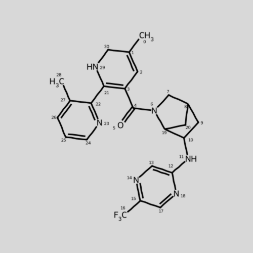 CC1=CC(C(=O)N2CC3CC(Nc4cnc(C(F)(F)F)cn4)C2C3)=C(c2ncccc2C)NC1